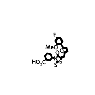 COc1cc(F)ccc1-c1ccc(C=C2SC(=S)N(C3CCCC(C(=O)O)C3)C2=O)o1